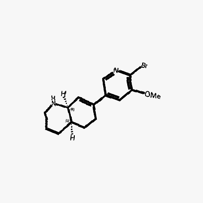 COc1cc(C2=C[C@@H]3NCCC[C@@H]3CC2)cnc1Br